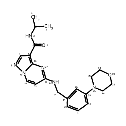 CC(C)NC(=O)c1cnn2ccc(NCc3cccc(N4CCOCC4)c3)nc12